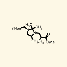 CCCCCCCCCCN1CC(C)N(CC(C)C(=O)OC)C1(C)[SiH3]